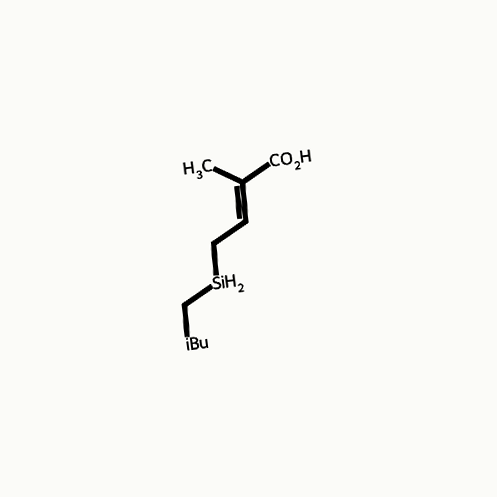 CCC(C)C[SiH2]CC=C(C)C(=O)O